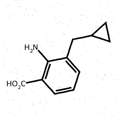 Nc1c(CC2CC2)cccc1C(=O)O